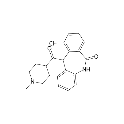 CN1CCC(C(=O)C2c3ccccc3NC(=O)c3cccc(Cl)c32)CC1